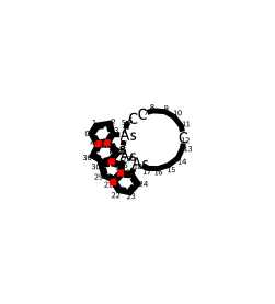 c1ccc([As]2CCCCCCCCCCCCC[As](c3ccccc3)[As](c3ccccc3)[As]2c2ccccc2)cc1